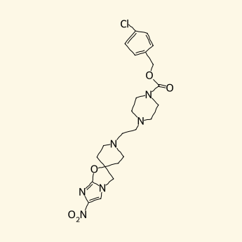 O=C(OCc1ccc(Cl)cc1)N1CCN(CCN2CCC3(CC2)Cn2cc([N+](=O)[O-])nc2O3)CC1